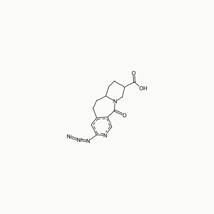 [N-]=[N+]=Nc1cc2c(cn1)C(=O)N1CC(C(=O)O)CCC1CC2